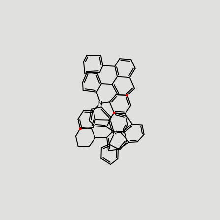 c1ccc(-c2cccc3cccc(-c4ccccc4N(c4cccc(-c5cccc6c7ccccc7n(-c7ccccc7)c56)c4)c4ccccc4-c4cccc5cccc(C6CCCCC6)c45)c23)cc1